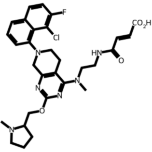 CN(CCNC(=O)/C=C/C(=O)O)c1nc(OCC2CCCN2C)nc2c1CCN(c1cccc3ccc(F)c(Cl)c13)C2